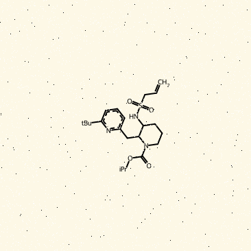 C=CCS(=O)(=O)NC1CCCN(C(=O)OC(C)C)C1Cc1cccc(C(C)(C)C)n1